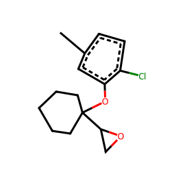 Cc1ccc(Cl)c(OC2(C3CO3)CCCCC2)c1